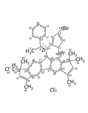 CCCC1C=C(C(C)(C)C)C=[C]1/[Zr+2](=[C](/C)c1ccccc1)[CH]1c2cc3c(cc2-c2cc4c(cc21)C(C)(C)C=C4C)C(C)=CC3(C)C.[Cl-].[Cl-]